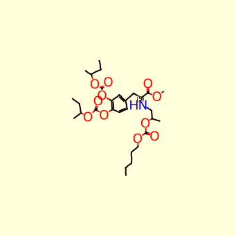 CCCCCOC(=O)OC(C)CN[C@@H](Cc1ccc(OC(=O)OC(C)CC)c(OC(=O)OC(C)CC)c1)C(=O)OC